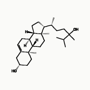 CC(C)C(C)(O)CC[C@@H](C)[C@H]1CC[C@H]2[C@@H]3CC=C4C[C@@H](O)CC[C@]4(C)[C@H]3CC[C@]12C